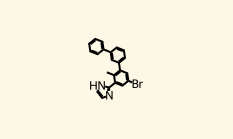 Cc1c(-c2cccc(-c3ccccc3)c2)cc(Br)cc1-c1ncc[nH]1